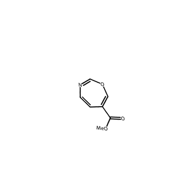 COC(=O)C1=COC=NC=C1